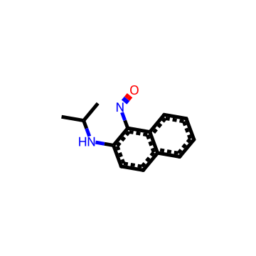 CC(C)Nc1ccc2ccccc2c1N=O